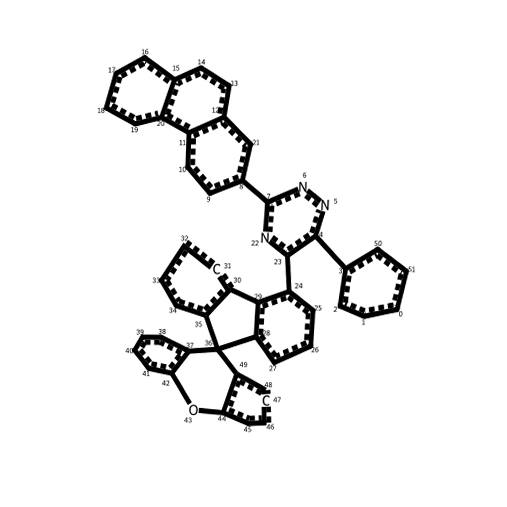 c1ccc(-c2nnc(-c3ccc4c(ccc5ccccc54)c3)nc2-c2cccc3c2-c2ccccc2C32c3ccccc3Oc3ccccc32)cc1